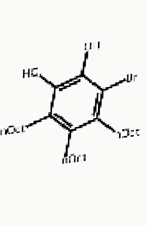 CCCCCCCCc1c(O)c(O)c(Br)c(CCCCCCCC)c1CCCCCCCC